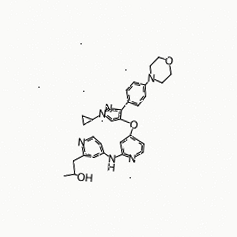 CC(O)Cc1cc(Nc2cc(Oc3cn(C4CC4)nc3-c3ccc(N4CCOCC4)cc3)ccn2)ccn1